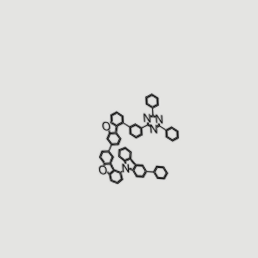 c1ccc(-c2ccc3c(c2)c2ccccc2n3-c2cccc3oc4ccc(-c5ccc6c(c5)oc5cccc(-c7cccc(-c8nc(-c9ccccc9)nc(-c9ccccc9)n8)c7)c56)cc4c23)cc1